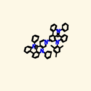 Cc1cc(C)c(N2c3ccccc3B3c4c(cc(-[n+]5ccc6c(c5)N(c5ccccc5)c5cccc7c5B6N(c5ccccc5)c5ccccc5-7)cc42)-c2ccccc2N3c2ccccc2)c(C)c1